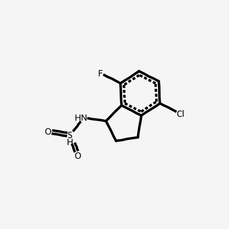 O=[SH](=O)NC1CCc2c(Cl)ccc(F)c21